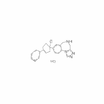 Cl.ClC1(c2ccc3c(c2)CNCc2nncn2-3)CC=C(c2ccccc2)CC1